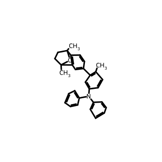 Cc1ccc(N(c2ccccc2)c2ccccc2)cc1-c1ccc2c(c1)C1(C)CCC2(C)O1